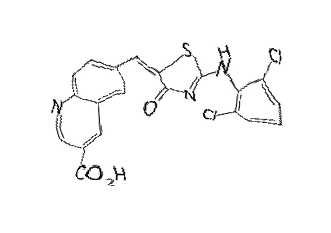 O=C1N=C(Nc2c(Cl)cccc2Cl)SC1=Cc1ccc2ncc(C(=O)O)cc2c1